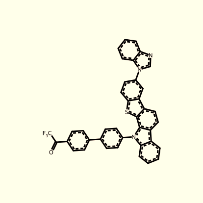 O=C(c1ccc(-c2ccc(-n3c4ccccc4c4ccc5c6cc(-n7cnc8ccccc87)ccc6sc5c43)cc2)cc1)C(F)(F)F